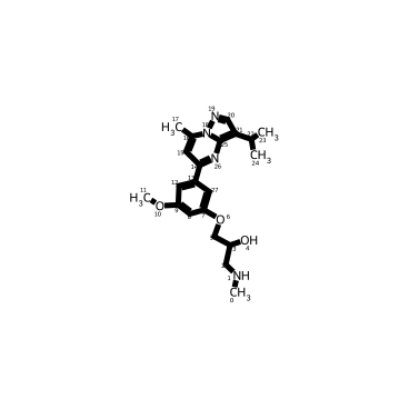 CNCC(O)COc1cc(OC)cc(-c2cc(C)n3ncc(C(C)C)c3n2)c1